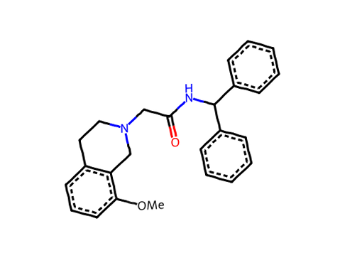 COc1cccc2c1CN(CC(=O)NC(c1ccccc1)c1ccccc1)CC2